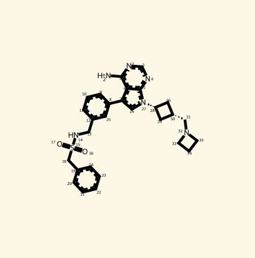 Nc1ncnc2c1c(-c1cccc(CNS(=O)(=O)Cc3ccccc3)c1)cn2[C@H]1C[C@@H](CN2CCC2)C1